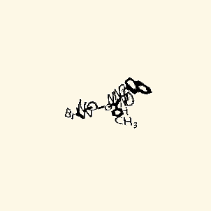 Cc1ccc(-c2c(NS(=O)(=O)c3ccc4ccccc4c3)ncnc2OCCOc2ncc(Br)cn2)cc1